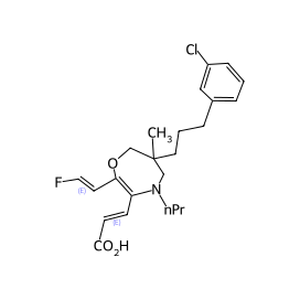 CCCN1CC(C)(CCCc2cccc(Cl)c2)COC(/C=C/F)=C1/C=C/C(=O)O